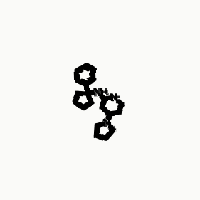 c1ccc(C2(NC3CC(N4CCCC4)CC[N]3)CCCC2)cc1